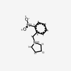 O=[N+]([O-])c1ccccc1CN1CCCC1